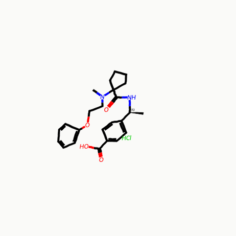 C[C@H](NC(=O)C1(N(C)CCOc2ccccc2)CCCC1)c1ccc(C(=O)O)cc1.Cl